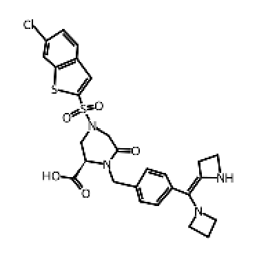 O=C(O)[C@H]1CN(S(=O)(=O)c2cc3ccc(Cl)cc3s2)CC(=O)N1Cc1ccc(C(=C2CCN2)N2CCC2)cc1